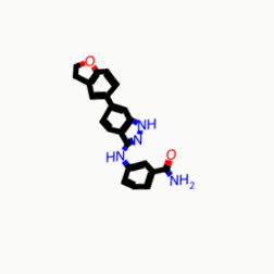 NC(=O)c1cccc(Nc2n[nH]c3cc(-c4ccc5c(c4)CCO5)ccc23)c1